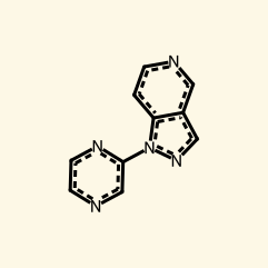 c1cnc(-n2ncc3cnccc32)cn1